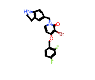 O=c1c(Br)c(OCc2ccc(F)cc2F)ccn1Cc1ccc2c(c1)CCN2